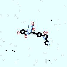 COc1ccc2c(c1)C(=O)N(C[C@@H](C#Cc1ccc(-c3nc(-c4cccnc4)ccc3O)cc1)NC(=O)NC=O)C2